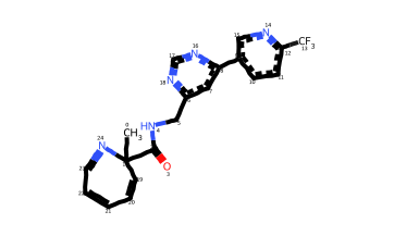 CC1(C(=O)NCc2cc(-c3ccc(C(F)(F)F)nc3)ncn2)C=CC=CC=N1